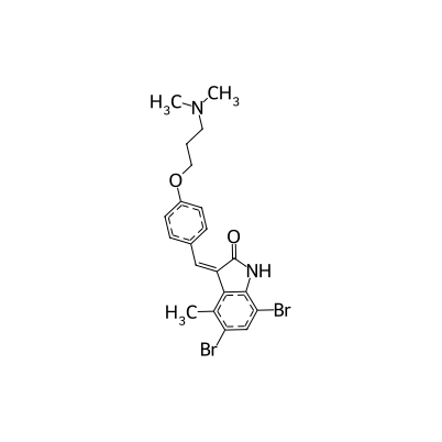 Cc1c(Br)cc(Br)c2c1C(=Cc1ccc(OCCCN(C)C)cc1)C(=O)N2